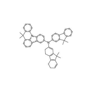 CC1(C)C2=C(CCC=C2)C2=C1C=C(N(c1ccc3c(c1)C(C)(C)c1ccccc1-3)c1ccc3c(c1)c1cccc4c1n3-c1ccccc1C4(C)C)CC2